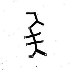 CCC(C)OC(F)(F)C(F)(F)C(=O)O